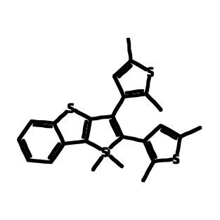 Cc1cc(C2=C(c3cc(C)sc3C)[Si](C)(C)c3c2sc2ccccc32)c(C)s1